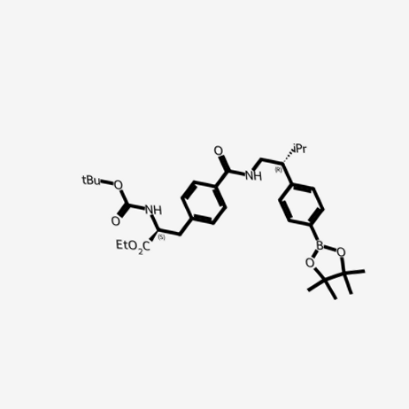 CCOC(=O)[C@H](Cc1ccc(C(=O)NC[C@@H](c2ccc(B3OC(C)(C)C(C)(C)O3)cc2)C(C)C)cc1)NC(=O)OC(C)(C)C